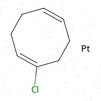 ClC1=CCCC=CCC1.[Pt]